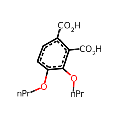 CCCOc1ccc(C(=O)O)c(C(=O)O)c1OCCC